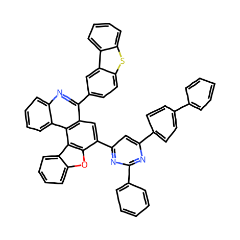 c1ccc(-c2ccc(-c3cc(-c4cc5c(-c6ccc7sc8ccccc8c7c6)nc6ccccc6c5c5c4oc4ccccc45)nc(-c4ccccc4)n3)cc2)cc1